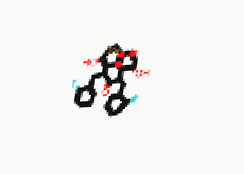 O=C(C(Cc1ccccc1F)c1cc(Br)ccc1O)C(Cc1ccccc1F)c1cc(Br)ccc1O